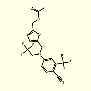 CC(=O)OCc1ccc(CN(CC(F)(F)F)c2ccc(C#N)c(C(F)(F)F)c2)o1